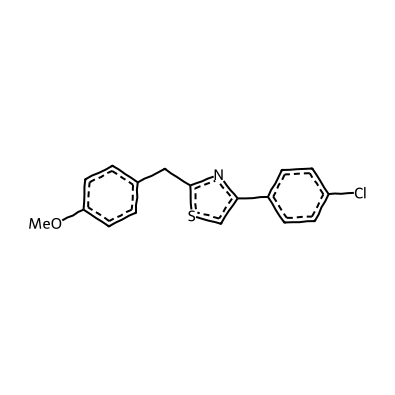 COc1ccc(Cc2nc(-c3ccc(Cl)cc3)cs2)cc1